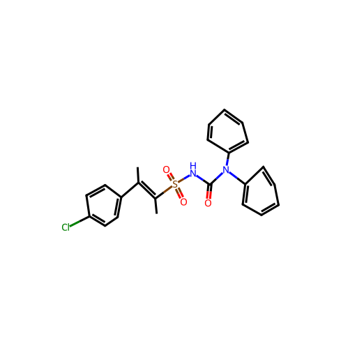 C/C(=C(/C)S(=O)(=O)NC(=O)N(c1ccccc1)c1ccccc1)c1ccc(Cl)cc1